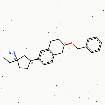 CC[C@@]1(N)CC[C@H](c2ccc3c(c2)CC[C@@H](OCc2ccccc2)C3)C1